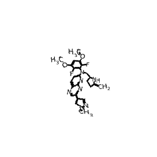 C=C1CCC(CN(c2ccc3ncc(-c4cnn(C)c4)nc3n2)c2c(F)c(OC)cc(OC)c2F)N1